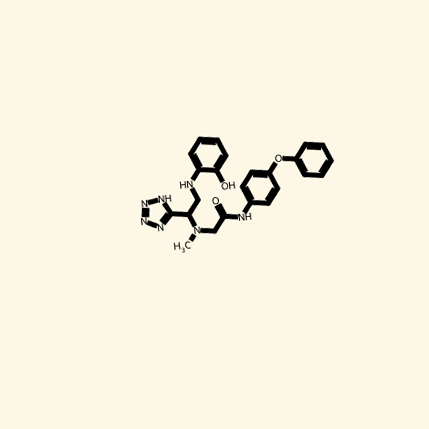 CN(CC(=O)Nc1ccc(Oc2ccccc2)cc1)C(CNc1ccccc1O)c1nnn[nH]1